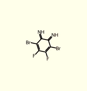 N=C1C(=N)C(Br)=C(F)C(F)=C1Br